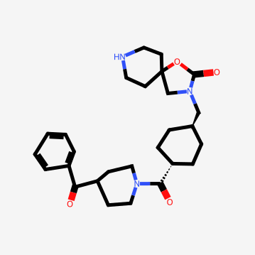 O=C(c1ccccc1)C1CCN(C(=O)[C@H]2CC[C@H](CN3CC4(CCNCC4)OC3=O)CC2)CC1